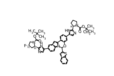 CC(C)(C)OC(=O)N1CCC[C@@H]1c1ncc(-c2ccc3c(c2)OC(c2cc4ccccc4s2)n2c-3cc3cc(-c4cnc([C@H]5C[C@H](F)CN5C(=O)OC(C)(C)C)[nH]4)ccc32)[nH]1